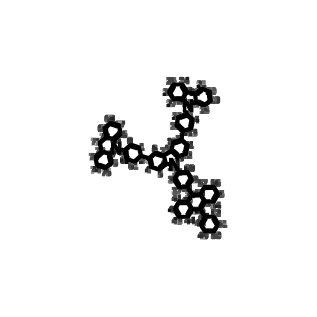 C1=CC(c2ccc3c(c2)c2cc(-c4ccc(-n5c6ccccc6c6ccccc65)cc4)ccc2n3-c2ccc(-c3c4ccccc4c(-c4ccccc4)c4ccccc34)cc2)CC=C1N1c2ccccc2Cc2ccccc21